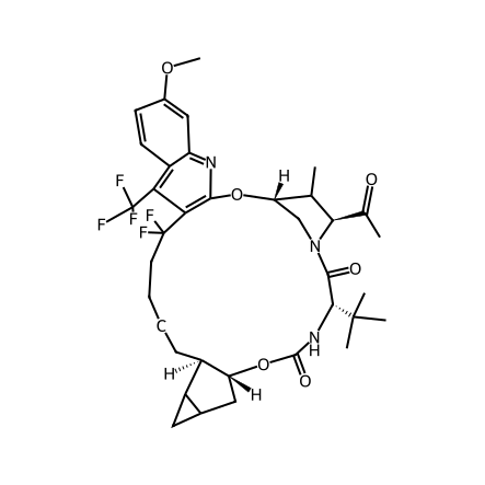 COc1ccc2c(C(F)(F)F)c3c(nc2c1)O[C@H]1CN(C(=O)[C@H](C(C)(C)C)NC(=O)O[C@@H]2CC4CC4[C@H]2CCCCC3(F)F)[C@H](C(C)=O)C1C